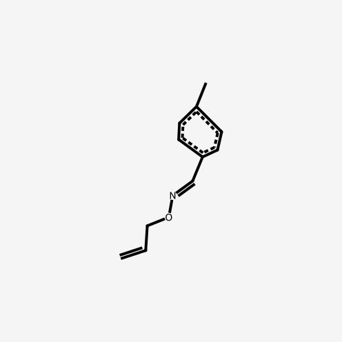 C=CCO/N=C/c1ccc(C)cc1